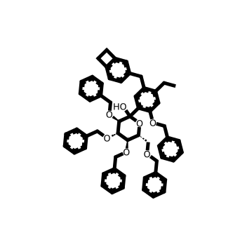 CCc1cc(OCc2ccccc2)c(C2(O)O[C@H](COCc3ccccc3)[C@@H](OCc3ccccc3)[C@H](OCc3ccccc3)[C@H]2OCc2ccccc2)cc1Cc1ccc2c(c1)CC2